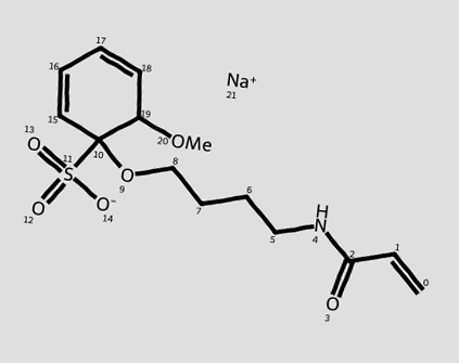 C=CC(=O)NCCCCOC1(S(=O)(=O)[O-])C=CC=CC1OC.[Na+]